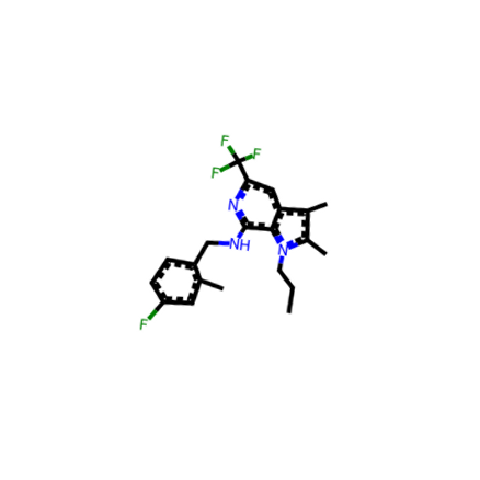 CCCn1c(C)c(C)c2cc(C(F)(F)F)nc(NCc3ccc(F)cc3C)c21